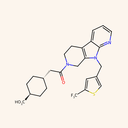 O=C(C[C@H]1CC[C@H](C(=O)O)CC1)N1CCc2c(n(Cc3csc(C(F)(F)F)c3)c3ncccc23)C1